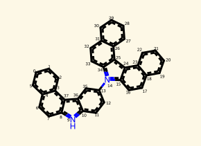 c1ccc2c(c1)ccc1[nH]c3ccc(-n4c5ccc6ccccc6c5c5c6ccccc6ccc54)cc3c12